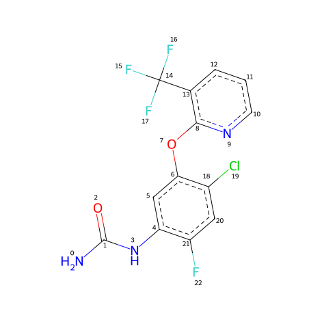 NC(=O)Nc1cc(Oc2ncccc2C(F)(F)F)c(Cl)cc1F